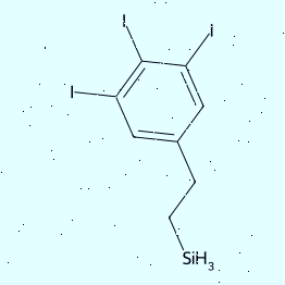 [SiH3]CCc1cc(I)c(I)c(I)c1